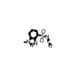 Cn1nnc2c(S(=O)(=O)N=C=O)cccc21